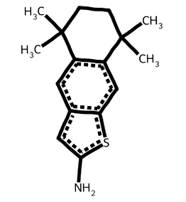 CC1(C)CCC(C)(C)c2cc3sc(N)cc3cc21